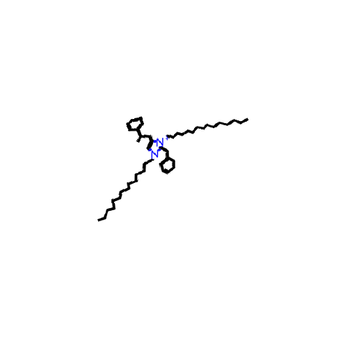 CCCCCCCCCCCCCCC[n+]1c(CC(C)c2ccccc2)cn(CCCCCCCCCCCCCC)c1Cc1ccccc1